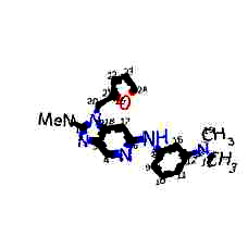 CNc1nc2cnc(Nc3cccc(N(C)C)c3)cc2n1Cc1ccco1